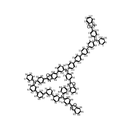 c1ccc(N(c2ccc(-c3ccc(-c4ccc(-c5ccc(N(c6ccc(-c7nc8ccccc8o7)cc6)c6cccc(-c7ccc8nc(-c9ccc(N(c%10ccccc%10)c%10cccc(-c%11cccc(-c%12cccc(-c%13cccc(N(c%14ccccc%14)c%14ccc(-c%15nc%16ccccc%16o%15)cc%14)c%13)c%12)c%11)c%10)cc9)oc8c7)c6)cc5)cc4)cc3)cc2)c2ccc(-c3nc4ccccc4o3)cc2)cc1